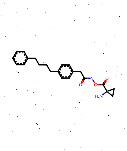 NC1(C(=O)ONC(=O)Cc2ccc(CCCCc3ccccc3)cc2)CC1